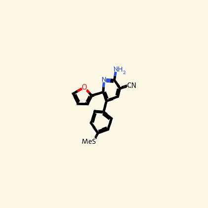 CSc1ccc(-c2cc(C#N)c(N)nc2-c2ccco2)cc1